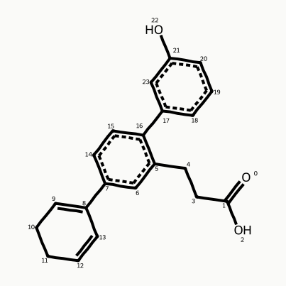 O=C(O)CCc1cc(C2=CCCC=C2)ccc1-c1cccc(O)c1